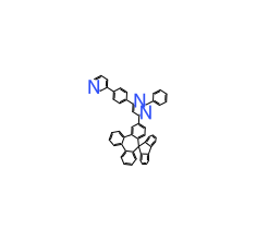 c1ccc(-c2nc(-c3ccc(-c4cccnc4)cc3)cc(-c3ccc4c(c3)-c3ccccc3-c3ccccc3C43c4ccccc4-c4ccccc43)n2)cc1